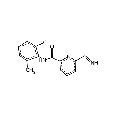 Cc1cccc(Cl)c1NC(=O)c1cccc(C=N)n1